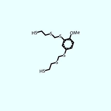 COc1ccc(SCSCCS)cc1SCSCCS